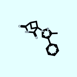 Cc1nn(C23CC(C2)C(=O)NC3=O)cc1-c1ccccc1